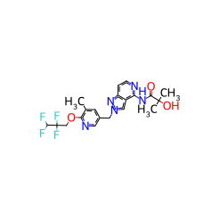 Cc1cc(Cn2cc3c(NC(=O)C(C)(C)O)nccc3n2)cnc1OCC(F)(F)C(F)F